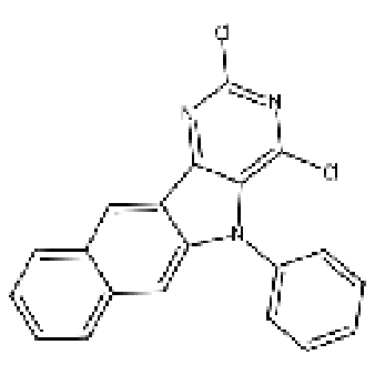 Clc1nc(Cl)c2c(n1)c1cc3ccccc3cc1n2-c1ccccc1